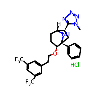 Cl.Cn1nnnc1[C@H]1C[C@@]2(c3ccccc3)N[C@@H]1CC[C@@H]2OCCc1cc(C(F)(F)F)cc(C(F)(F)F)c1